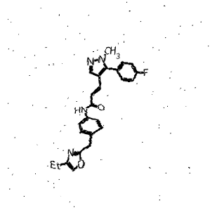 CCc1coc(Cc2ccc(NC(=O)C=Cc3cnn(C)c3-c3ccc(F)cc3)cc2)n1